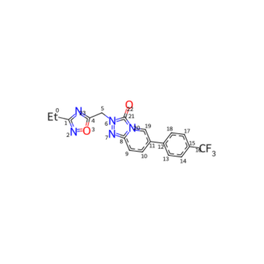 CCc1noc(Cn2nc3ccc(-c4ccc(C(F)(F)F)cc4)cn3c2=O)n1